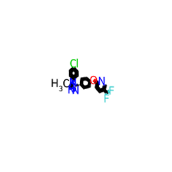 Cc1nnc([C@H]2CC[C@H](Oc3ccc(C(F)F)cn3)CC2)n1-c1ccc(Cl)cc1